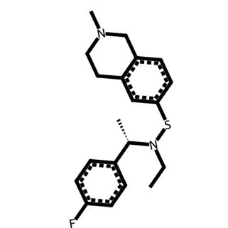 CCN(Sc1ccc2c(c1)CCN(C)C2)[C@@H](C)c1ccc(F)cc1